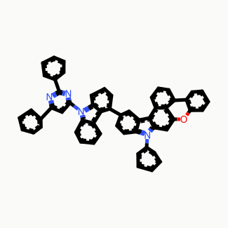 c1ccc(-c2cc(-n3c4ccccc4c4c(-c5ccc6c(c5)c5c7cccc8c7c(cc5n6-c5ccccc5)Oc5ccccc5-8)cccc43)nc(-c3ccccc3)n2)cc1